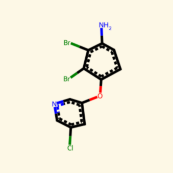 Nc1ccc(Oc2cncc(Cl)c2)c(Br)c1Br